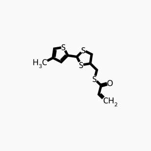 C=CC(=O)SCC1CSC(c2cc(C)cs2)S1